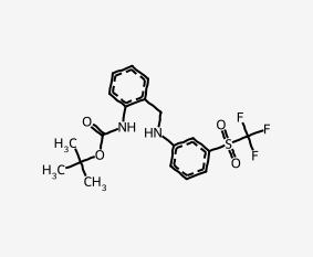 CC(C)(C)OC(=O)Nc1ccccc1CNc1cccc(S(=O)(=O)C(F)(F)F)c1